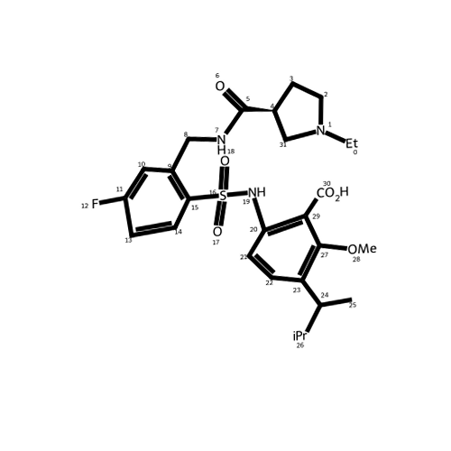 CCN1CC[C@H](C(=O)NCc2cc(F)ccc2S(=O)(=O)Nc2ccc(C(C)C(C)C)c(OC)c2C(=O)O)C1